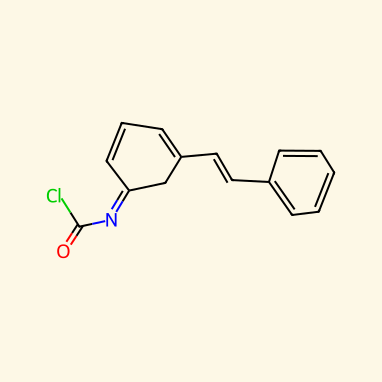 O=C(Cl)N=C1C=CC=C(C=Cc2ccccc2)C1